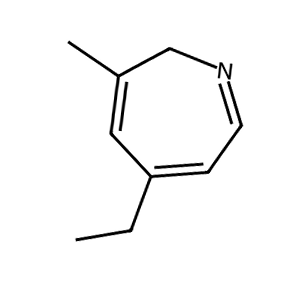 CCC1=CC=NCC(C)=C1